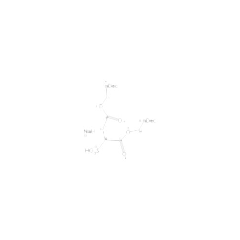 CCCCCCCCCCCOC(=O)CC(C(=O)OCCCCCCCCCCC)S(=O)(=O)O.[NaH]